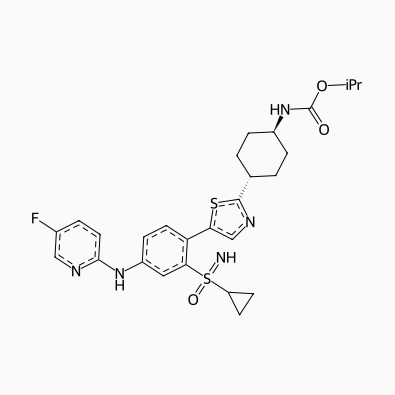 CC(C)OC(=O)N[C@H]1CC[C@H](c2ncc(-c3ccc(Nc4ccc(F)cn4)cc3S(=N)(=O)C3CC3)s2)CC1